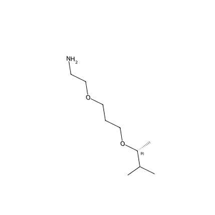 CC(C)[C@@H](C)OCCCOCCN